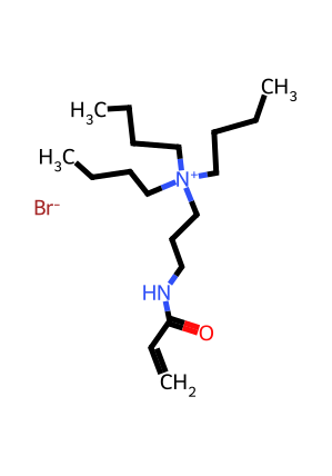 C=CC(=O)NCCC[N+](CCCC)(CCCC)CCCC.[Br-]